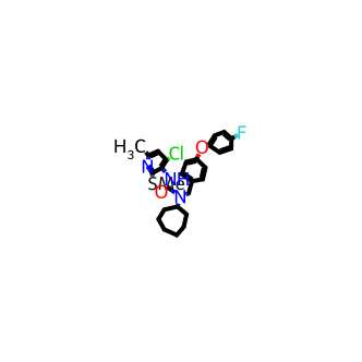 CSc1nc(C)cc(Cl)c1NC(=O)N(Cc1ccc(Oc2ccc(F)cc2)cc1)C1CCCCCC1